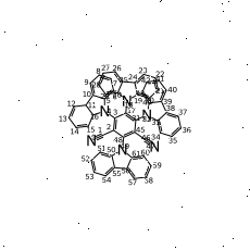 N#Cc1c(N2c3ccccc3C3C=CC=CC32)c(-n2c3ccccc3c3ccccc32)c(-n2c3ccccc3c3ccccc32)c(C#N)c1-n1c2ccccc2c2ccccc21